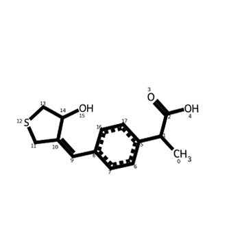 CC(C(=O)O)c1ccc(/C=C2/CSCC2O)cc1